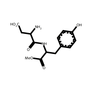 COC(=O)C(Cc1ccc(O)cc1)NC(=O)C(N)CC(=O)O